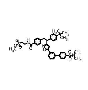 COS(=O)(=O)CCNC(=O)c1ccc(CC(c2ccc(C(C)(C)C)cc2)c2cc(-c3cccc(-c4ccc(S(=O)(=O)N(C)C)cc4)c3)on2)cc1